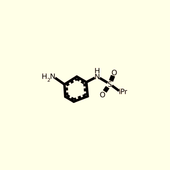 CC(C)S(=O)(=O)Nc1cccc(N)c1